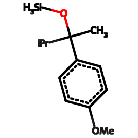 COc1ccc(C(C)(O[SiH3])C(C)C)cc1